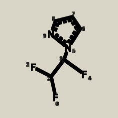 FC(F)C(F)n1cccn1